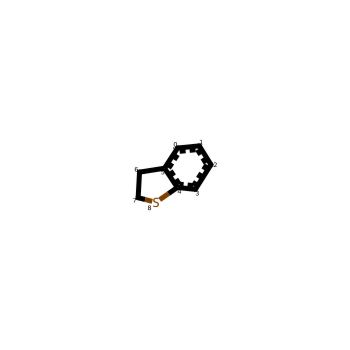 [c]1cccc2c1CCS2